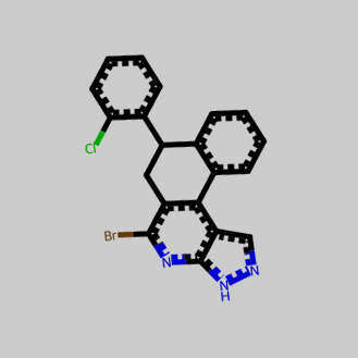 Clc1ccccc1C1Cc2c(Br)nc3[nH]ncc3c2-c2ccccc21